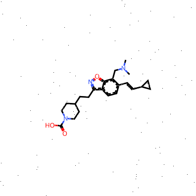 CN(C)Cc1c(C=CC2CC2)ccc2c(CCC3CCN(C(=O)O)CC3)noc12